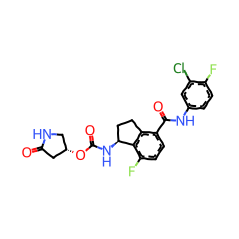 O=C1C[C@@H](OC(=O)N[C@H]2CCc3c(C(=O)Nc4ccc(F)c(Cl)c4)ccc(F)c32)CN1